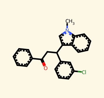 Cn1cc(C(CC(=O)c2ccccc2)c2cccc(Cl)c2)c2ccccc21